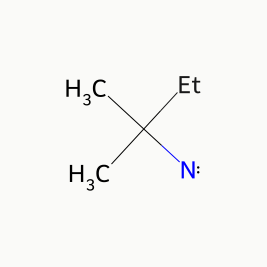 CCC(C)(C)[N]